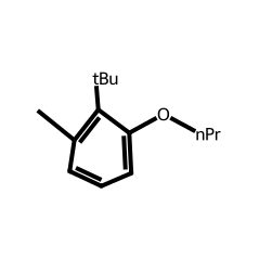 CCCOc1cccc(C)c1C(C)(C)C